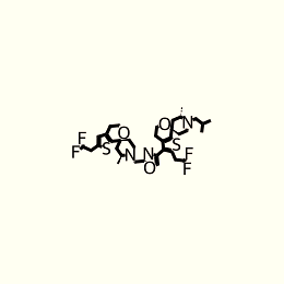 CC(C)CN1CC[C@]2(C[C@@H]1C)OCCc1c2sc(CC(F)F)c1-c1coc(CN2CC[C@]3(C[C@@H]2C)OCCc2cc(CC(F)F)sc23)n1